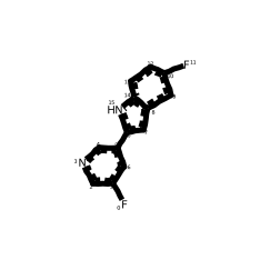 Fc1cncc(-c2cc3cc(F)ccc3[nH]2)c1